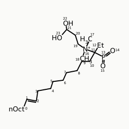 CCCCCCCCC=CCCCCCCCCC(CC)(P(=O)=O)[N+](C)(C)CCC(O)O